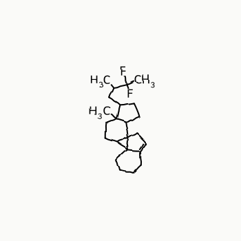 CC(CC1CCC2C1(C)CCC1C34CCCCC3=CCC214)C(C)(F)F